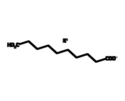 O=C([O-])CCCCCCCCC(=O)O.[K+]